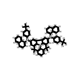 CC(C)(C)c1ccc(N(c2cc3c4c(c2)c2cc(N(c5ccc(C(C)(C)C)cc5)c5cccc6ccccc56)cc5c2n4-c2c(cccc2C5(C)C)C3(C)C)c2cccc3ccccc23)cc1